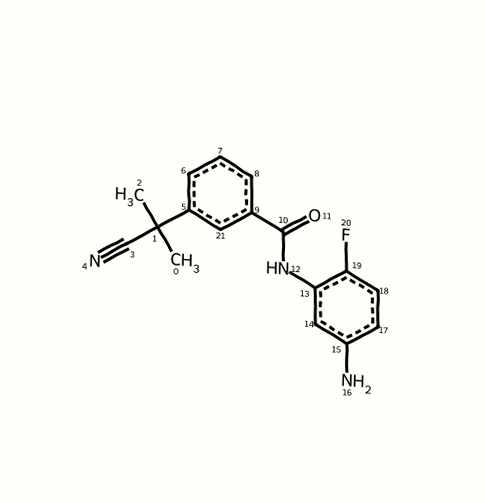 CC(C)(C#N)c1cccc(C(=O)Nc2cc(N)ccc2F)c1